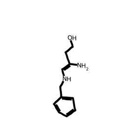 N/C(=C\NCc1ccccc1)CCO